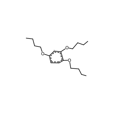 CCCCOc1[c]c(OCCCC)c(OCCCC)cc1